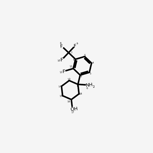 NC1(c2cccc(C(F)(F)F)c2F)CCCC(O)C1